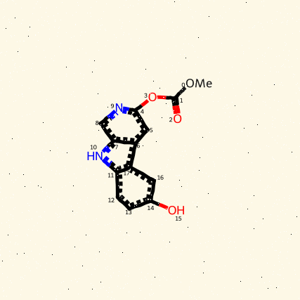 COC(=O)Oc1cc2c(cn1)[nH]c1ccc(O)cc12